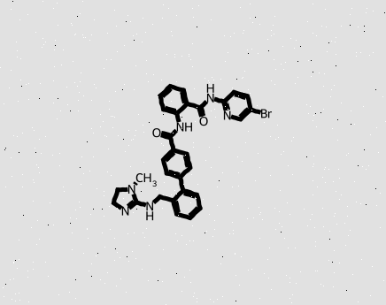 CN1CCN=C1NCc1ccccc1-c1ccc(C(=O)Nc2ccccc2C(=O)Nc2ccc(Br)cn2)cc1